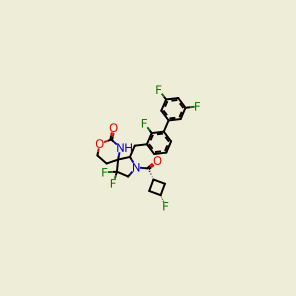 O=C1NC2(CCO1)C(Cc1cccc(-c3cc(F)cc(F)c3)c1F)N(C(=O)[C@H]1C[C@@H](F)C1)CC2(F)F